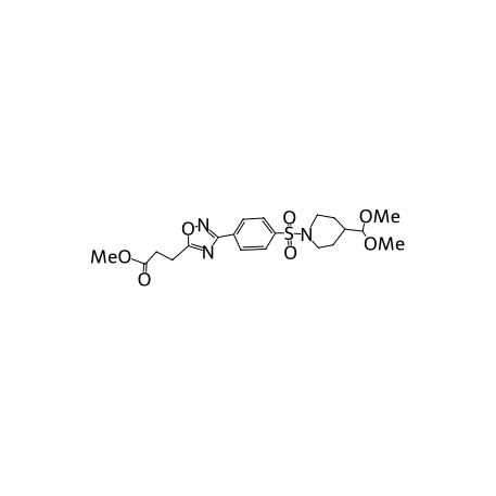 COC(=O)CCc1nc(-c2ccc(S(=O)(=O)N3CCC(C(OC)OC)CC3)cc2)no1